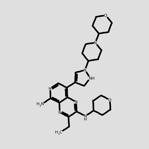 CCc1nc2c(N)ncc(C3=CN(C4CCN(C5CCOCC5)CC4)NC3)c2nc1NC1CCOCC1